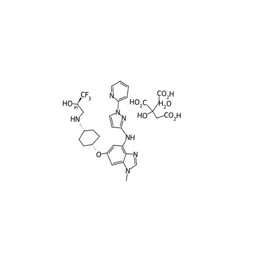 Cn1cnc2c(Nc3ccn(-c4ccccn4)n3)cc(O[C@H]3CC[C@@H](NC[C@@H](O)C(F)(F)F)CC3)cc21.O.O=C(O)CC(O)(CC(=O)O)C(=O)O